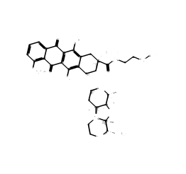 COc1cccc2c1C(=O)c1c(O)c3c(c(O)c1C2=O)C[C@@](O)(C(=O)NCCNC(C)C)C[C@@H]3O[C@H]1C[C@H]2[C@H](O[C@@H]3[C@@H](OC)OCCN32)[C@H](C)O1